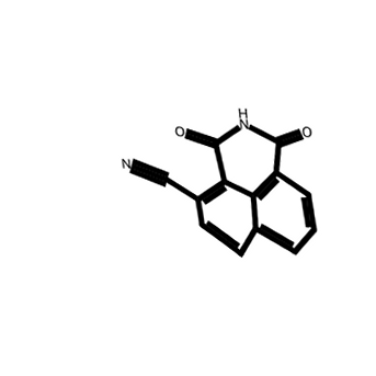 N#Cc1ccc2cccc3c2c1C(=O)NC3=O